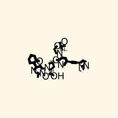 Cc1nc(N2C[C@@H](Oc3ncc(C#Cc4ccnn4C)cc3N3CCOC4(COC4)[C@@H]3C)C[C@H]2C(=O)O)c2oc3ccccc3c2n1